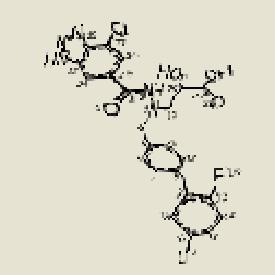 O=C(NN(Cc1ccc(-c2cc(Cl)ccc2F)cc1)CC(O)C(=O)O)c1cc(Cl)c2nn[nH]c2c1